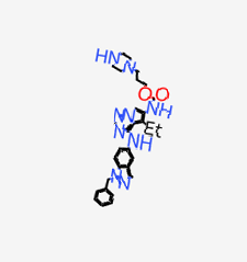 CCc1c(NC(=O)OCCCN2CCNCC2)cn2ncnc(Nc3ccc4c(cnn4Cc4ccccc4)c3)c12